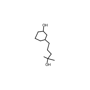 CC(C)(O)CCCC1CCCC(O)C1